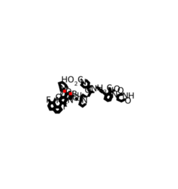 C#Cc1c(F)ccc2cccc(-c3ncc4c(N5CC6CCC(C5)N6C(=O)OC(C)(C)C)nc(OC[C@@]56CCCN5[C@H](CC5CN(CC#Cc7cccc8c7n(C)c(=O)n8C7CCC(=O)NC7=O)CC7(CCN(C(=O)O)CC7)O5)CC6)nc4c3F)c12